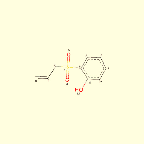 C=CCS(=O)(=O)c1ccccc1O